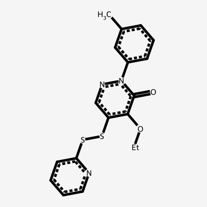 CCOc1c(SSc2ccccn2)cnn(-c2cccc(C)c2)c1=O